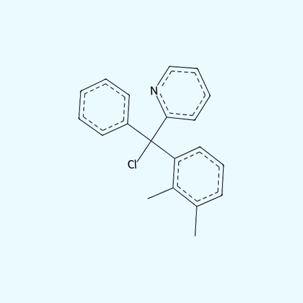 Cc1cccc(C(Cl)(c2ccccc2)c2ccccn2)c1C